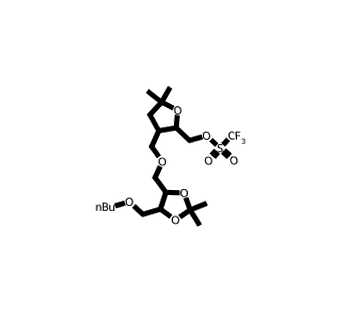 CCCCOCC1OC(C)(C)OC1COCC1CC(C)(C)OC1COS(=O)(=O)C(F)(F)F